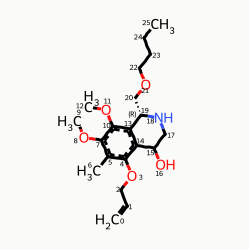 C=CCOc1c(C)c(OC)c(OC)c2c1C(O)CN[C@H]2COCCCC